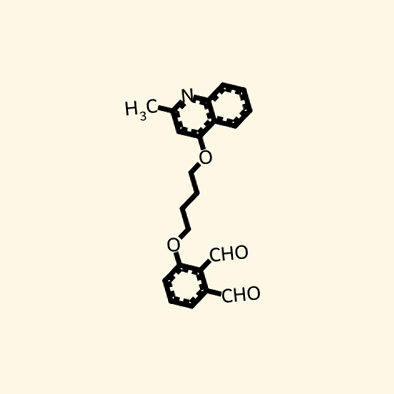 Cc1cc(OCCCCOc2cccc(C=O)c2C=O)c2ccccc2n1